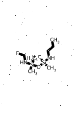 CCCN[Si](C)(C)O[Si](C)(C)NCF